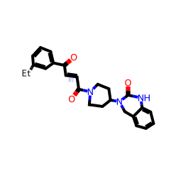 CCc1cccc(C(=O)/C=C/C(=O)N2CCC(N3Cc4ccccc4NC3=O)CC2)c1